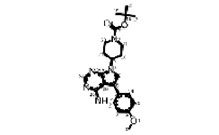 COc1ccc(-c2cn(C3CCN(C(=O)OC(C)(C)C)CC3)c3ncnc(N)c23)cc1